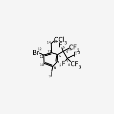 FC(F)(F)C(F)(F)C(F)(c1cc(I)[c]c(Br)c1CC(Cl)(Cl)Cl)C(F)(F)F